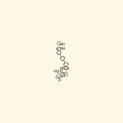 COC(=O)N[C@H](C(=O)N1CCC[C@H]1c1nc2ccc(-c3ccc(-c4ccc5nc([C@@H]6CCCN6)[nH]c5c4)cc3)cc2[nH]1)[C@@H](C)O